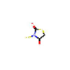 O=C1CSC(=O)N1S